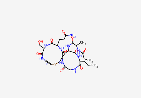 CCCC1NC(=O)C(NC(=O)C(C)NC(=O)CC)CC2(CS/C=C\NC(=O)C(CO)NC(=O)C(CCC(N)=O)NC2=O)NC(=O)CNC1=O